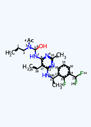 C=CCN(C(C)=O)C(O)Nc1nc(C)nc(N[C@H](C)c2cccc(C(F)F)c2F)c1C=C